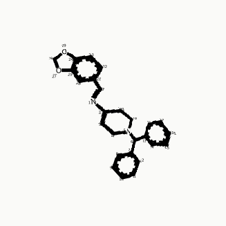 C(=NC1CCN(C(c2ccccc2)c2ccccc2)CC1)c1ccc2c(c1)OCO2